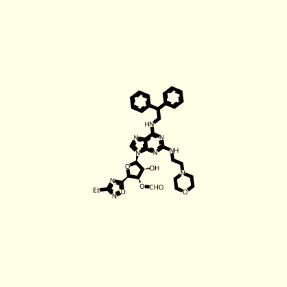 CCc1noc([C@H]2O[C@@H](n3cnc4c(NCC(c5ccccc5)c5ccccc5)nc(NCCN5CCOCC5)nc43)[C@H](O)[C@@H]2OC=O)n1